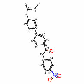 CCC(C)Cc1ccc(-c2ccc(C(=O)Cc3ccc([N+](=O)[O-])cc3)cc2)cc1